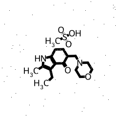 CCc1c(C)[nH]c2c1C(=O)C(CN1CCOCC1)CC2.CS(=O)(=O)O